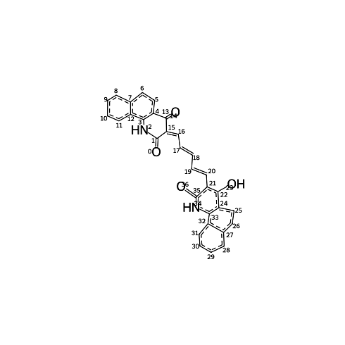 O=C1Nc2c(ccc3ccccc23)C(=O)C1=CC=CC=Cc1c(O)c2ccc3ccccc3c2[nH]c1=O